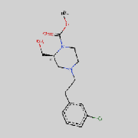 CCCCOC(=O)N1CCN(CCc2cccc(Cl)c2)C[C@H]1CO